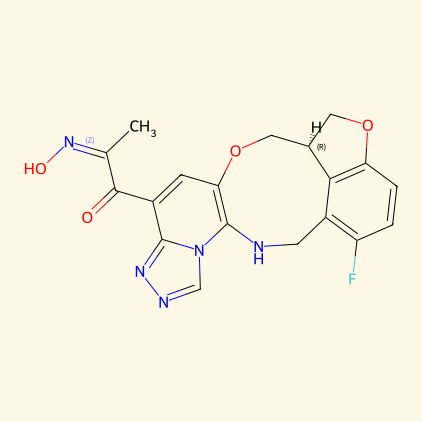 C/C(=N/O)C(=O)c1cc2c(n3cnnc13)NCc1c(F)ccc3c1[C@H](CO3)CO2